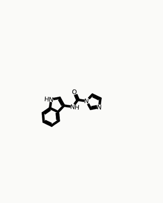 O=C(Nc1c[nH]c2ccccc12)n1ccnc1